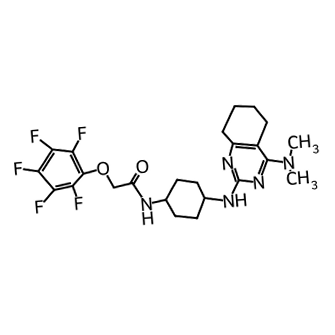 CN(C)c1nc(NC2CCC(NC(=O)COc3c(F)c(F)c(F)c(F)c3F)CC2)nc2c1CCCC2